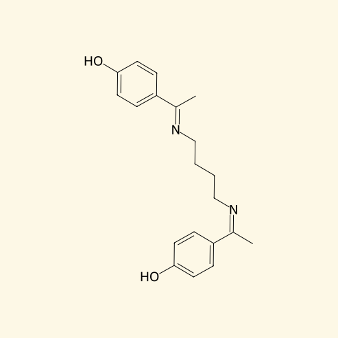 C/C(=N/CCCC/N=C(\C)c1ccc(O)cc1)c1ccc(O)cc1